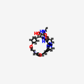 CCNC(=O)C(O)C1Cc2ccc(cc2)OC/C=C/COc2ccc3c(cnn3-c3ncccc3C(=O)N1)c2